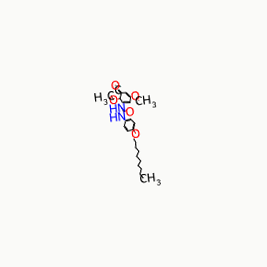 CCCCCCCCCCOc1ccc(NC(=O)NC2=CC(OC)=CC(=C=O)C2OC)cc1